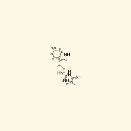 CN(C)C(=N)NC(=N)NCCc1c[nH]c2cc(F)ccc12